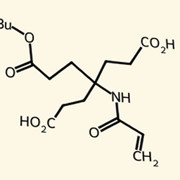 C=CC(=O)NC(CCC(=O)O)(CCC(=O)O)CCC(=O)OC(C)(C)C